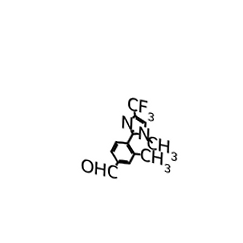 Cc1cc(C=O)ccc1-c1nc(C(F)(F)F)cn1C